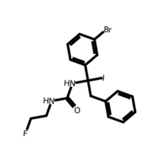 O=C(NCCF)NC(I)(Cc1ccccc1)c1cccc(Br)c1